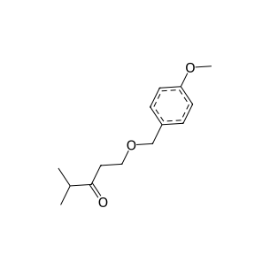 COc1ccc(COCCC(=O)C(C)C)cc1